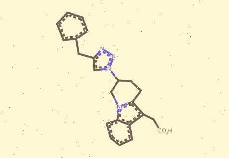 O=C(O)Cc1c2n(c3ccccc13)CC(n1cc(Cc3ccccc3)nn1)CC2